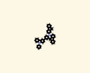 CC1(C)c2ccccc2-c2ccc(N(c3ccc(-c4ccc5c(c4)c4ccccc4n5-c4ccccc4)cc3)c3cccc4c3C(C)(C)c3ccccc3-4)cc21